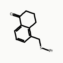 CC(C)SCc1cccc2c1CCCC2=O